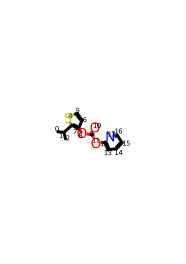 CC(C)c1sccc1OC(=O)Oc1ccccn1